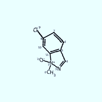 C[N+]1([O-])N=Cc2ccc(Cl)cc21